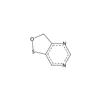 c1ncc2c(n1)COS2